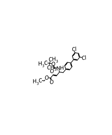 CCOC(=O)/C=C/C(Cc1ccc(-c2cc(Cl)cc(Cl)c2)cc1)NC(=O)OC(C)(C)C